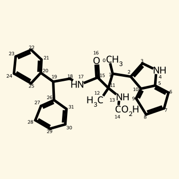 CC(c1c[nH]c2ccccc12)C(C)(NC(=O)O)C(=O)NCC(c1ccccc1)c1ccccc1